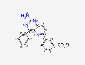 CCOC(=O)c1cccc(-c2ccc3nc(N)nc(-c4ccccc4)c3n2)c1